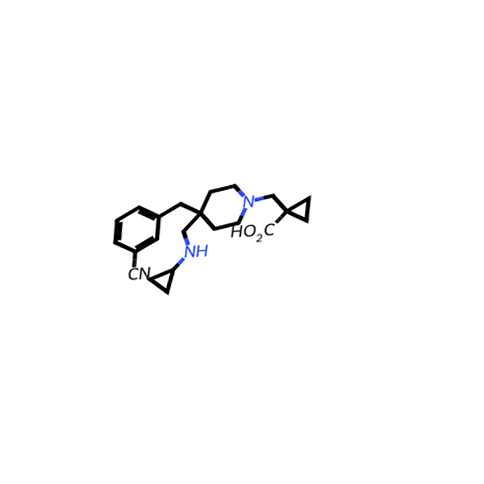 N#Cc1cccc(CC2(CNC3CC3)CCN(CC3(C(=O)O)CC3)CC2)c1